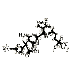 CC(C)c1nnc(C2(C)C(=O)Nc3nc(-c4nc(CCC(F)(F)C(F)(F)F)nc5c4cnn5C)nc(N)c32)o1